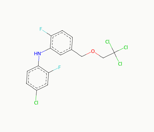 Fc1cc(Cl)ccc1Nc1cc(COCC(Cl)(Cl)Cl)ccc1F